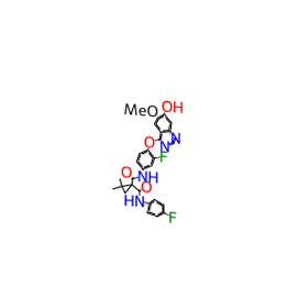 COc1cc2c(Oc3ccc(NC(=O)C4(C(=O)Nc5ccc(F)cc5)CC4(C)C)cc3F)ncnc2cc1O